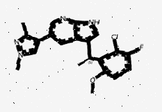 COc1ccc(F)c(Cl)c1[C@@H](C)c1c[nH]c2ncc(-c3cn(C)nc3C)cc12